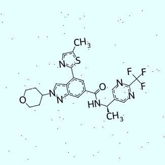 Cc1cnc(-c2cc(C(=O)N[C@H](C)c3cnc(C(F)(F)F)nc3)cc3nn(C4CCOCC4)cc23)s1